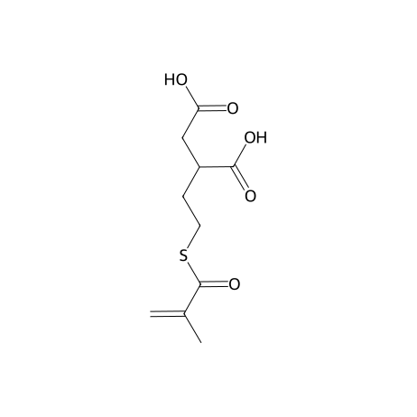 C=C(C)C(=O)SCCC(CC(=O)O)C(=O)O